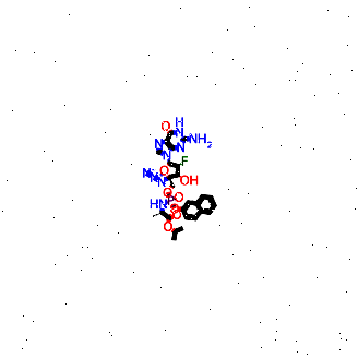 CC(C)OC(=O)[C@H](C)NP(=O)(OC[C@@]1(N=[N+]=[N-])O[C@@H](n2cnc3c(=O)[nH]c(N)nc32)[C@H](F)[C@@H]1O)Oc1ccc2ccccc2c1